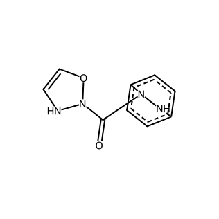 O=C(N1NC=CO1)N1Nc2ccc1cc2